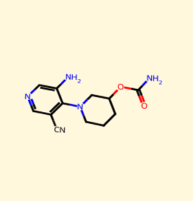 N#Cc1cncc(N)c1N1CCCC(OC(N)=O)C1